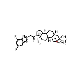 COC[C@]12CC[C@@](C)(O)C[C@H]1CC[C@H]1[C@@H]3CC[C@H](C(=O)Cn4nc5cc(F)cc(F)c5n4)[C@@]3(C)CC[C@@H]12